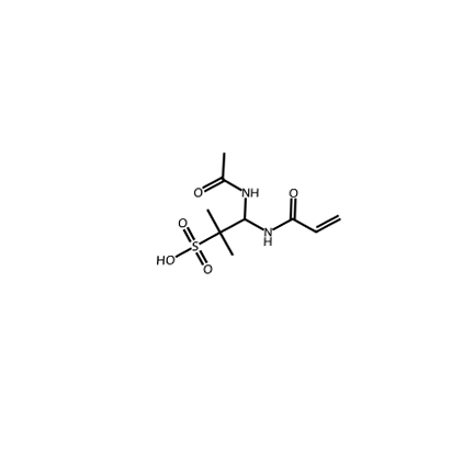 C=CC(=O)NC(NC(C)=O)C(C)(C)S(=O)(=O)O